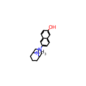 CN1C2CCCC1CN(c1ccc3cc(O)ccc3c1)C2